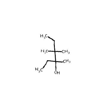 CCC(C)(C)C(C)(O)CC